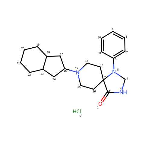 Cl.O=C1NCN(c2ccccc2)C12CCN(C1CC3CCCCC3C1)CC2